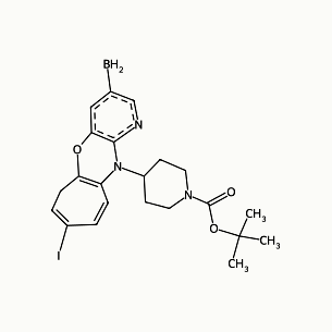 Bc1cnc2c(c1)OC1=C(C=CC(I)=CC1)N2C1CCN(C(=O)OC(C)(C)C)CC1